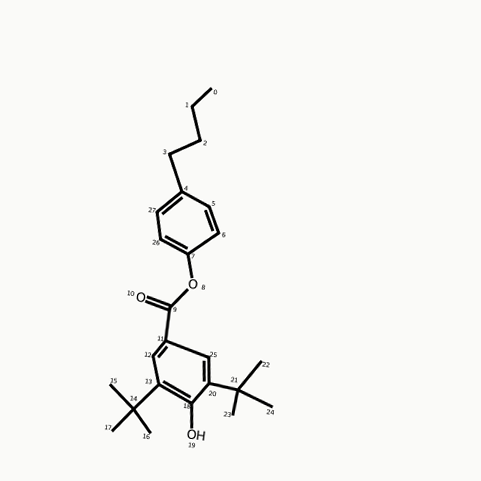 CCCCc1ccc(OC(=O)c2cc(C(C)(C)C)c(O)c(C(C)(C)C)c2)cc1